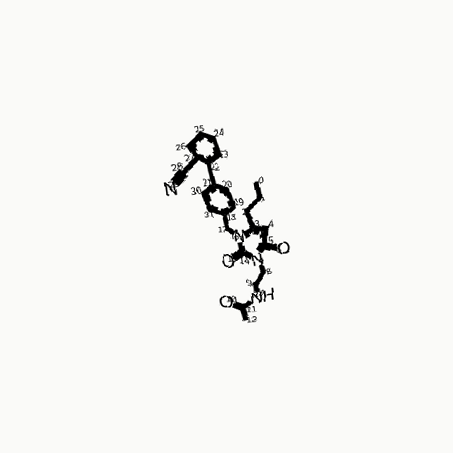 CCCc1cc(=O)n(CCNC(C)=O)c(=O)n1Cc1ccc(-c2ccccc2C#N)cc1